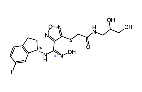 O=C(CSc1nonc1/C(=N\O)N[C@H]1CCc2ccc(F)cc21)NCC(O)CO